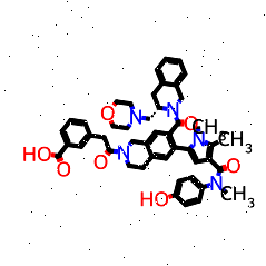 Cc1c(C(=O)N(C)c2ccc(O)cc2)cc(-c2cc3c(cc2C(=O)N2Cc4ccccc4C[C@H]2CN2CCOCC2)CN(C(=O)Cc2cccc(C(=O)O)c2)CC3)n1C